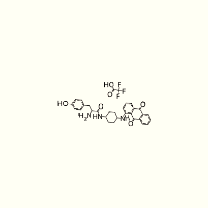 N[C@@H](Cc1ccc(O)cc1)C(=O)NC1CCC(Nc2cccc3c2C(=O)c2ccccc2C3=O)CC1.O=C(O)C(F)(F)F